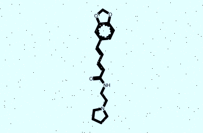 O=C(/C=C/C=C/c1ccc2c(c1)OCO2)NCCN1CCCC1